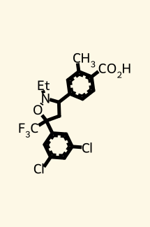 CCN1OC(c2cc(Cl)cc(Cl)c2)(C(F)(F)F)CC1c1ccc(C(=O)O)c(C)c1